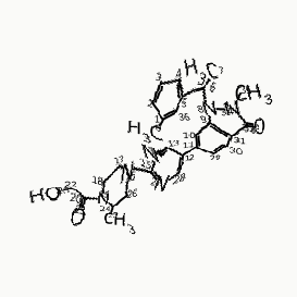 Cc1cccc([C@@H](C)n2c3cc(-c4cnc(N5CCN(C(=O)CO)C(C)C5)nc4)ccc3c(=O)n2C)c1